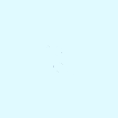 O=[N+]([O-])c1cccc(-c2cc(O)nc(-c3cccs3)n2)c1